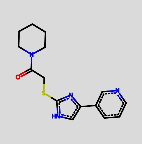 O=C(CSc1nc(-c2cccnc2)c[nH]1)N1CCCCC1